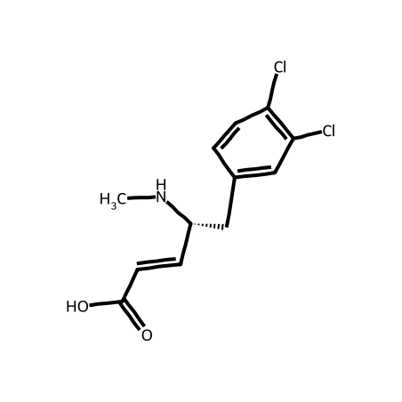 CN[C@@H](/C=C/C(=O)O)Cc1ccc(Cl)c(Cl)c1